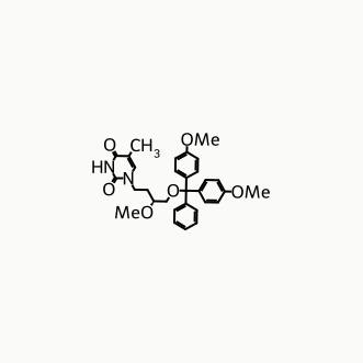 COc1ccc(C(OC[C@H](CCn2cc(C)c(=O)[nH]c2=O)OC)(c2ccccc2)c2ccc(OC)cc2)cc1